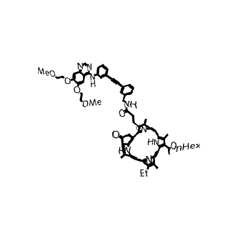 CCCCCCOC(C)c1c(C)c2cc3nc(c4c5[nH]c(cc6nc(cc1[nH]2)C(C)=C6CC)c(C)c5C(=O)C4)[C@@H](CCC(=O)NCc1cccc(C#Cc2cccc(Nc4ncnc5cc(OCCOC)c(OCCOC)cc45)c2)c1)C3C